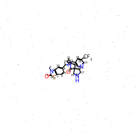 Cn1c(=O)sc2ccc(CN(Cc3cncc(C(F)(F)F)c3)C(=O)C3(CC4CC4)CCNC3)cc21